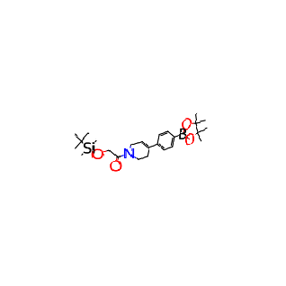 CC1(C)OB(c2ccc(C3=CCN(C(=O)CO[Si](C)(C)C(C)(C)C)CC3)cc2)OC1(C)C